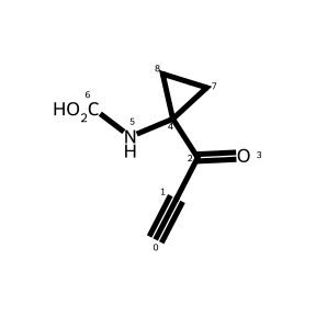 C#CC(=O)C1(NC(=O)O)CC1